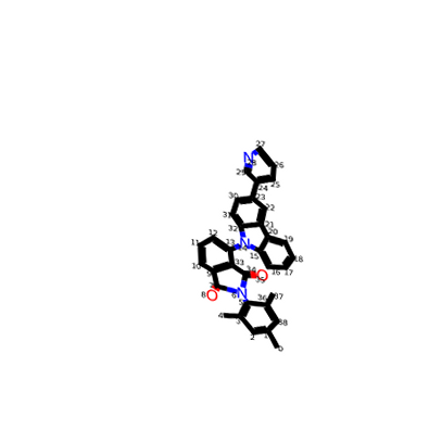 Cc1cc(C)c(N2C(=O)c3cccc(-n4c5ccccc5c5cc(-c6cccnc6)ccc54)c3C2=O)c(C)c1